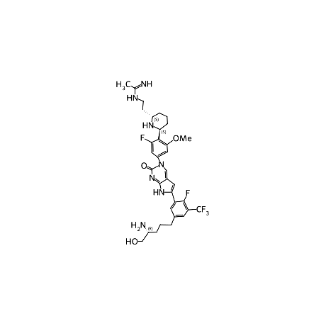 COc1cc(-n2cc3cc(-c4cc(CCC[C@@H](N)CO)cc(C(F)(F)F)c4F)[nH]c3nc2=O)cc(F)c1[C@@H]1CCC[C@@H](CCNC(C)=N)N1